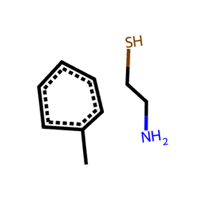 Cc1ccccc1.NCCS